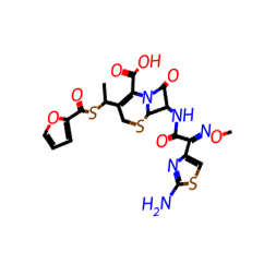 CON=C(C(=O)NC1C(=O)N2C(C(=O)O)=C(C(C)SC(=O)c3ccco3)CSC12)c1csc(N)n1